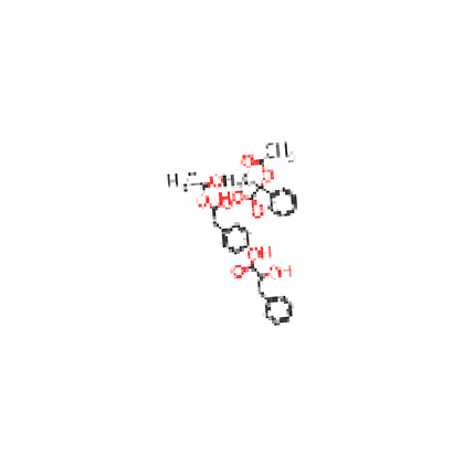 CC(=O)OC(=O)Cc1ccccc1.CC(=O)OC(C)(C(=O)O)c1ccccc1.O=C(O)C(O)Cc1ccccc1